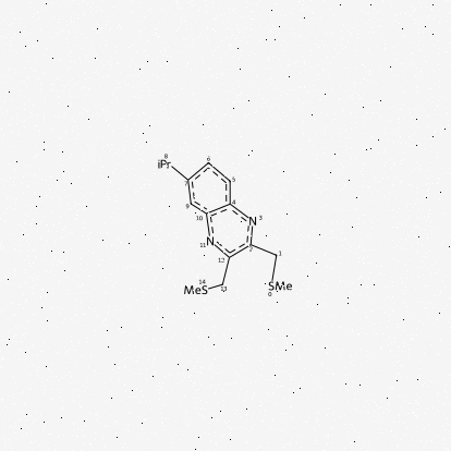 CSCc1nc2ccc(C(C)C)cc2nc1CSC